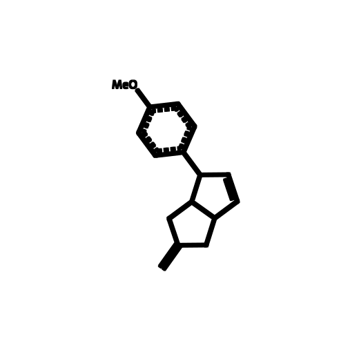 C=C1CC2C=CC(c3ccc(OC)cc3)C2C1